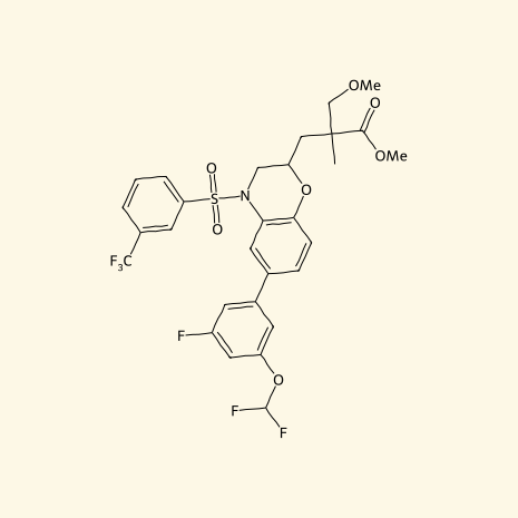 COCC(C)(CC1CN(S(=O)(=O)c2cccc(C(F)(F)F)c2)c2cc(-c3cc(F)cc(OC(F)F)c3)ccc2O1)C(=O)OC